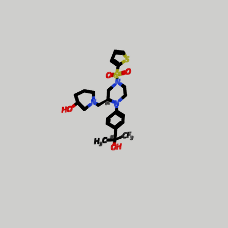 C[C@@](O)(c1ccc(N2CCN(S(=O)(=O)c3cccs3)C[C@@H]2CN2CCCC(O)C2)cc1)C(F)(F)F